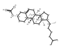 CC(C)CCC[C@@H](C)C1CC[C@H]2[C@@H]3CC=C4C[C@@H](OC(=O)Cl)CC[C@]4(C)[C@H]3CC[C@]12C